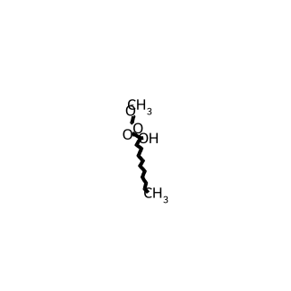 CCCCCCCCCCC(O)C(=O)OCCOC